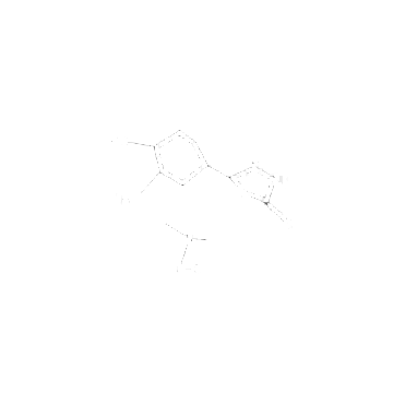 CN(C)C=O.Oc1ccc(-c2n[nH]c(=S)o2)cc1O